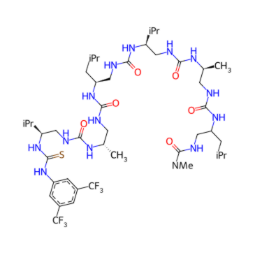 CNC(=O)NCC(CC(C)C)NC(=O)NC[C@H](C)NC(=O)NC[C@@H](NC(=O)NC[C@H](CC(C)C)NC(=O)NC[C@H](C)NC(=O)NC[C@@H](NC(=S)Nc1cc(C(F)(F)F)cc(C(F)(F)F)c1)C(C)C)C(C)C